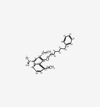 COc1cc([N+](=O)[O-])c2nccc(C)c2c1OCCCCCCc1ccccc1